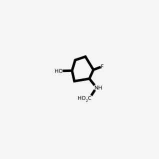 O=C(O)NC1CC(O)CCC1F